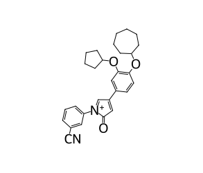 N#Cc1cccc([N+]2=CC(c3ccc(OC4CCCCCC4)c(OC4CCCC4)c3)=CC2=O)c1